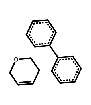 C1=CCOCC1.c1ccc(-c2ccccc2)cc1